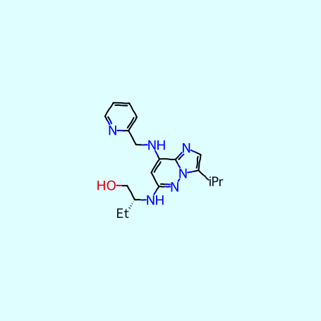 CC[C@H](CO)Nc1cc(NCc2ccccn2)c2ncc(C(C)C)n2n1